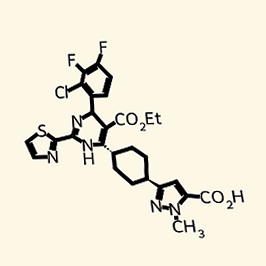 CCOC(=O)C1=C([C@H]2CC[C@H](c3cc(C(=O)O)n(C)n3)CC2)NC(c2nccs2)=NC1c1ccc(F)c(F)c1Cl